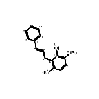 CC(C)(C)c1ccc(C(C)(C)C)c(CC=Cc2ccccc2)c1O